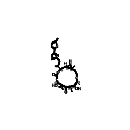 Cc1csc(-c2nc(CC(C)[C@@H]3C[C@@H]4N[C@]4(C)CCC[C@H](C)[C@H](O)[C@@H](C)C(=O)C(C)(C)[C@@H](O)CC(=O)O3)cs2)n1